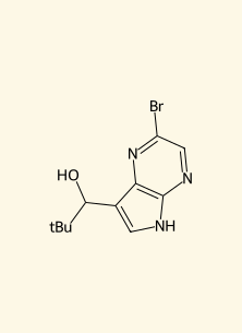 CC(C)(C)C(O)c1c[nH]c2ncc(Br)nc12